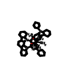 Bc1c(B)c(B)c(-n2c3ccccc3c3ccc4c5ccccc5n(-c5nc(-c6ccccc6)nc(-c6ccc7c(c6)c6ccccc6n7-c6ccccc6)n5)c4c32)c(B)c1B